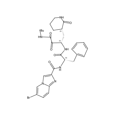 CC(C)(C)NC(=O)C(=O)[C@H](C[C@@H]1CCCNC1=O)NC(=O)[C@H](Cc1ccccc1)NC(=O)c1cn2cc(Br)ccc2n1